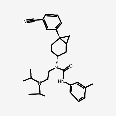 Cc1cccc(NC(=O)N(CCN(C(C)C)C(C)C)[C@@H]2CC[C@]3(c4cccc(C#N)c4)CC3C2)c1